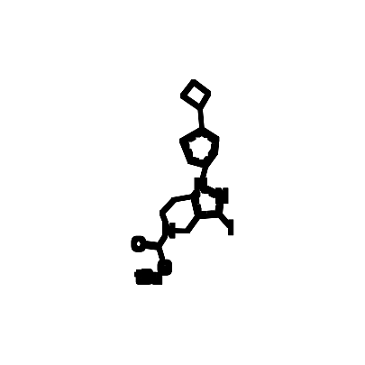 CC(C)(C)OC(=O)N1CCc2c(c(I)nn2-c2ccc(C3CCC3)cc2)C1